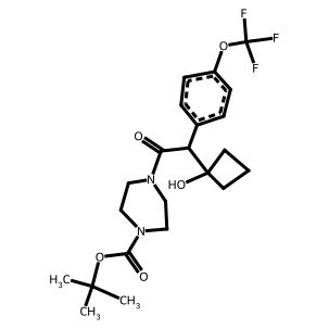 CC(C)(C)OC(=O)N1CCN(C(=O)C(c2ccc(OC(F)(F)F)cc2)C2(O)CCC2)CC1